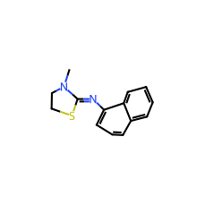 CN1CCSC1=Nc1cccc2ccccc12